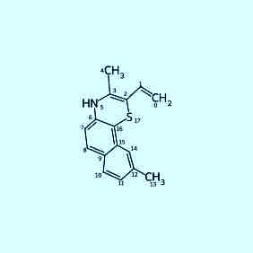 C=CC1=C(C)Nc2ccc3ccc(C)cc3c2S1